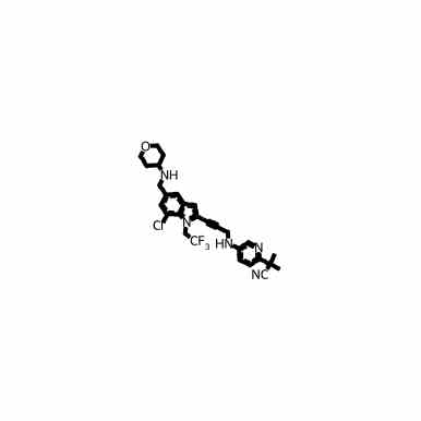 CC(C)(C#N)c1ccc(NCC#Cc2cc3cc(CNC4CCOCC4)cc(Cl)c3n2CC(F)(F)F)cn1